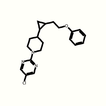 Clc1cnc(N2CCC(C3CC3CCOc3cc[c]cc3)CC2)nc1